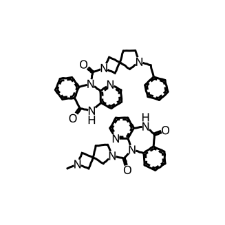 CN1CC2(CCN(C(=O)N3c4ccccc4C(=O)Nc4cccnc43)C2)C1.O=C1Nc2cccnc2N(C(=O)N2CC3(CCN(Cc4ccccc4)C3)C2)c2ccccc21